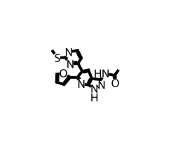 CSc1nccc(-c2cc3c(NC(C)=O)n[nH]c3nc2-c2ccco2)n1